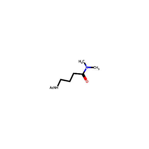 CC(=O)NCCCC(=O)N(C)C